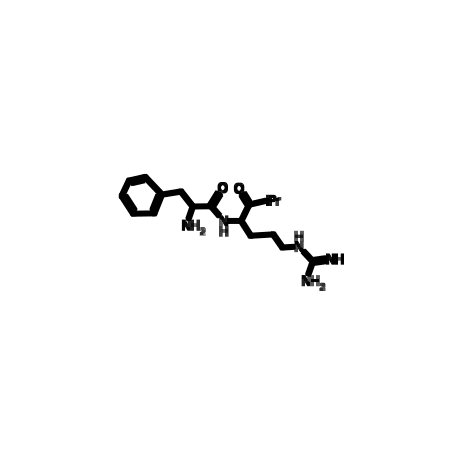 CC(C)C(=O)C(CCCNC(=N)N)NC(=O)C(N)Cc1ccccc1